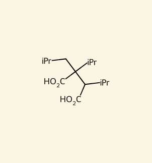 CC(C)CC(C(=O)O)(C(C)C)C(C(=O)O)C(C)C